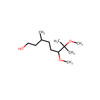 COC(CCC(C)CCO)C(C)(C)OC